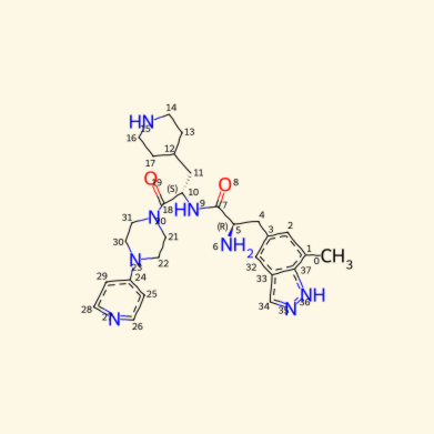 Cc1cc(C[C@@H](N)C(=O)N[C@@H](CC2CCNCC2)C(=O)N2CCN(c3ccncc3)CC2)cc2cn[nH]c12